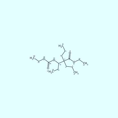 CCCC(CCC)(C(=O)OCC)C(CC)OC(=O)OCC